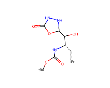 CC(C)C[C@H](NC(=O)OC(C)(C)C)C(O)C1NNC(=O)O1